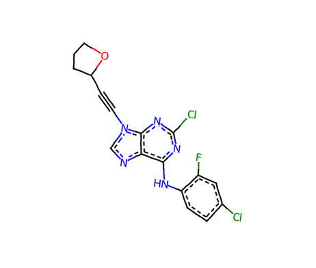 Fc1cc(Cl)ccc1Nc1nc(Cl)nc2c1ncn2C#CC1CCCO1